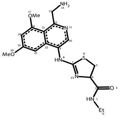 CCNC(=O)C1CSC(Nc2cnc(CN)c3c(OC)cc(OC)cc23)=N1